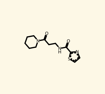 O=C(NCCC(=O)N1CCCCC1)c1nccs1